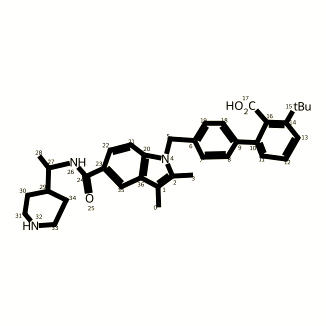 Cc1c(C)n(Cc2ccc(-c3cccc(C(C)(C)C)c3C(=O)O)cc2)c2ccc(C(=O)NC(C)C3CCNCC3)cc12